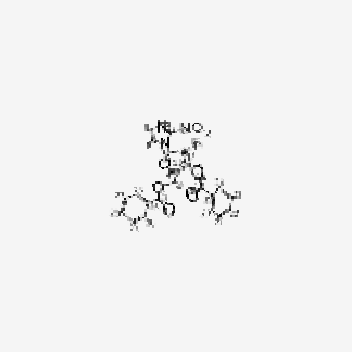 O=C(OC[C@H]1OC(n2ccnc2[N+](=O)[O-])[C@H](F)[C@@H]1OC(=O)c1ccccc1)c1ccccc1